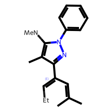 CC/C=C(\C=C(C)C)c1nn(-c2ccccc2)c(NC)c1C